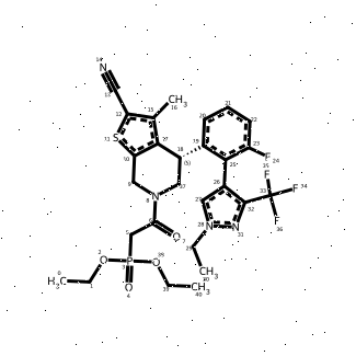 CCOP(=O)(CC(=O)N1Cc2sc(C#N)c(C)c2[C@H](c2cccc(F)c2-c2cn(CC)nc2C(F)(F)F)C1)OCC